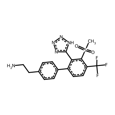 CS(=O)(=O)c1c(C(F)(F)F)ccc(-c2ccc(CCN)cc2)c1-c1nnn[nH]1